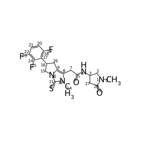 CN1CC(NC(=O)Cc2c3n(c(=S)n2C)CC(c2c(F)ccc(F)c2F)C3)CC1=O